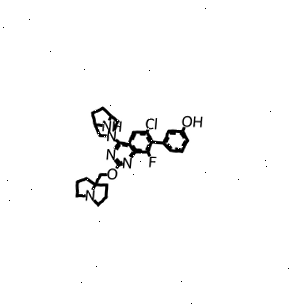 Oc1cccc(-c2c(Cl)cc3c(N4CC5CCC(C4)N5)nc(OCC45CCCN4CCC5)nc3c2F)c1